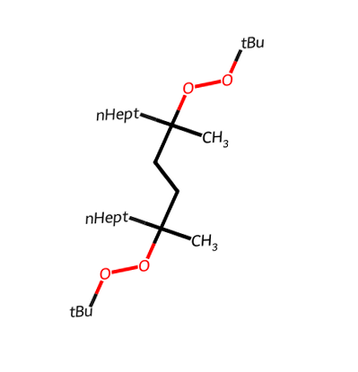 CCCCCCCC(C)(CCC(C)(CCCCCCC)OOC(C)(C)C)OOC(C)(C)C